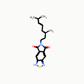 CC(C)CCCC(C)CCN1C(=O)C2=CC3=NSNC3C=C2C1=O